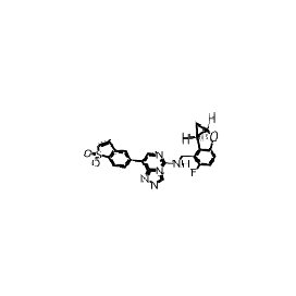 O=S1(=O)C=Cc2cc(-c3cnc(NCc4c(F)ccc5c4[C@@H]4C[C@@H]4O5)n4cnnc34)ccc21